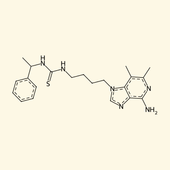 Cc1nc(N)c2ncn(CCCCNC(=S)NC(C)c3ccccc3)c2c1C